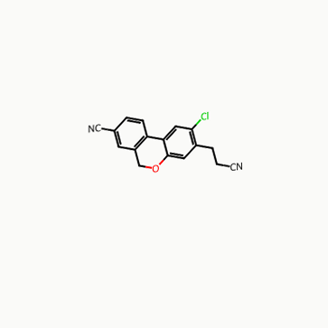 N#CCCc1cc2c(cc1Cl)-c1ccc(C#N)cc1CO2